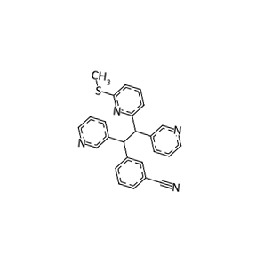 CSc1cccc(C(c2cccnc2)C(c2cccnc2)c2cccc(C#N)c2)n1